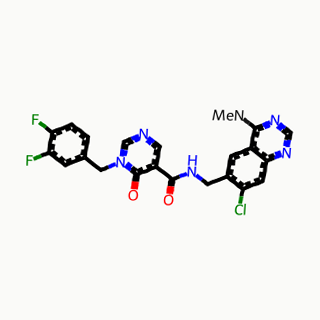 CNc1ncnc2cc(Cl)c(CNC(=O)c3cncn(Cc4ccc(F)c(F)c4)c3=O)cc12